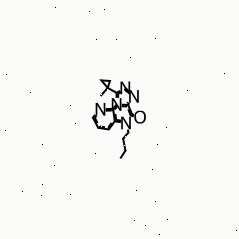 CCCCn1c(=O)c2nnc(C3(C)CC3)n2c2ncccc21